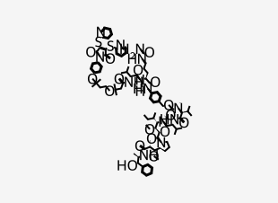 CCC(C)[C@@H]([C@@H](CC(=O)N1CCC[C@H]1[C@H](OC)[C@@H](C)C(=O)N[C@H](C)[C@@H](O)c1ccccc1)OC)N(C)C(=O)[C@@H](NC(=O)[C@H](C(C)C)N(C)C(=O)OCc1ccc(NC(=O)[C@H](CCCNC(N)=O)NC(=O)[C@@H](NC(=O)CC(C)(C)OCCC(C)(C)Oc2ccc(N3C(=O)C(Sc4ccccn4)=C(Sc4ccccn4)C3=O)cc2)C(C)C)cc1)C(C)C